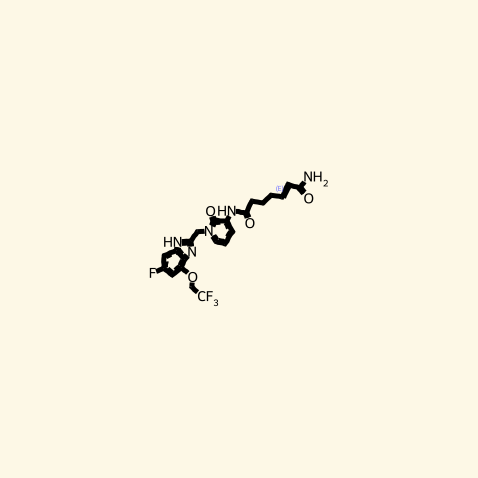 NC(=O)/C=C/CCCC(=O)Nc1cccn(Cc2nc3c(OCC(F)(F)F)cc(F)cc3[nH]2)c1=O